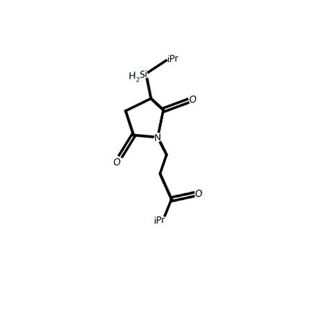 CC(C)[SiH2]C1CC(=O)N(CCC(=O)C(C)C)C1=O